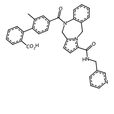 Cc1cc(C(=O)N2Cc3ccc(C(=O)NCc4cccnc4)n3Cc3ccccc32)ccc1-c1ccccc1C(=O)O